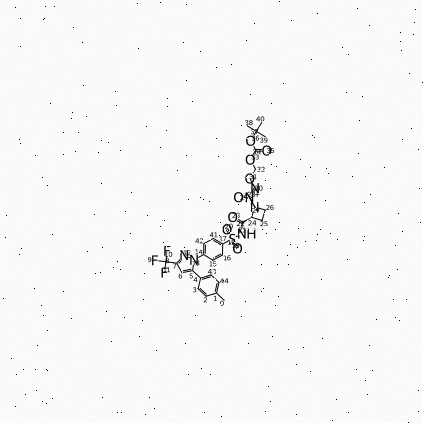 Cc1ccc(-c2cc(C(F)(F)F)nn2-c2ccc(S(=O)(=O)NC(=O)[C@@H]3CCN3[N+]([O-])=NOCOC(=O)OC(C)(C)C)cc2)cc1